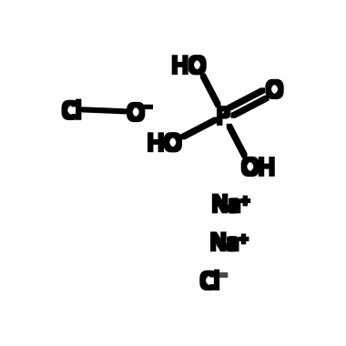 O=P(O)(O)O.[Cl-].[Na+].[Na+].[O-]Cl